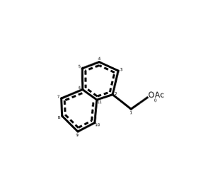 CC(=O)OCc1cccc2ccccc12